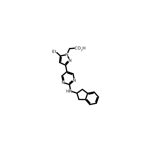 CCc1cc(-c2cnc(NC3Cc4ccccc4C3)nc2)nn1CC(=O)O